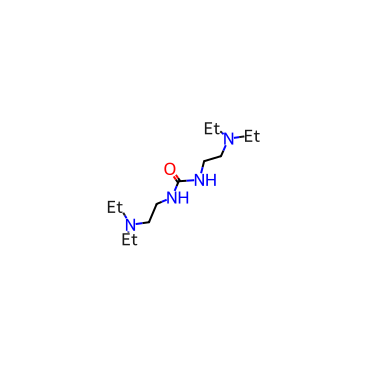 CCN(CC)CCNC(=O)NCCN(CC)CC